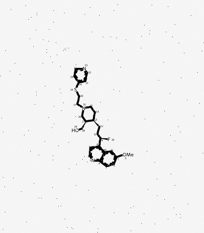 COc1ccc2nccc([C@H](F)CC[C@@H]3CCN(CCSc4ccncc4)C[C@@H]3CO)c2c1